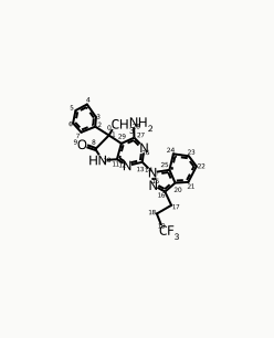 CC1(c2ccccc2)C(=O)Nc2nc(-n3nc(CCC(F)(F)F)c4ccccc43)nc(N)c21